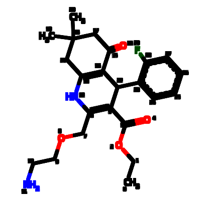 CCOC(=O)C1=C(COCCN)NC2=C(C(=O)CC(C)(C)C2)C1c1ccccc1F